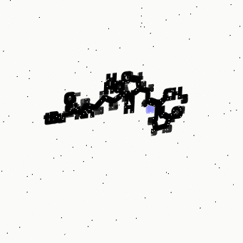 C=CC(C/C=C(\C)N1CCCC1=O)NC(O)CCCCN[S+]([O-])C(C)(C)C